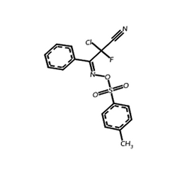 Cc1ccc(S(=O)(=O)ON=C(c2ccccc2)C(F)(Cl)C#N)cc1